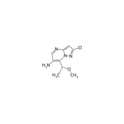 COC(C)c1c(N)cnc2cc(Cl)nn12